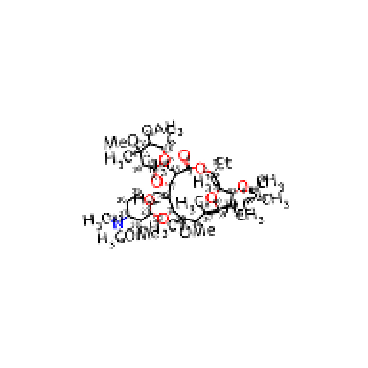 CC[C@H]1OC(=O)[C@H](C)[C@@H](OC2C[C@@](C)(OC)[C@@H](OC(C)=O)[C@H](C)O2)[C@H](C)[C@@H](O[C@@H]2OCC[C@H](N(C)C)[C@H]2OC)[C@](C)(OC)C/C(C)=C2/OC1(C)[C@H](O[Si](C)(C)C)[C@H]2C